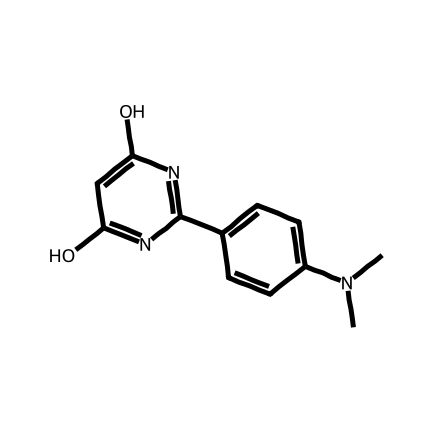 CN(C)c1ccc(-c2nc(O)cc(O)n2)cc1